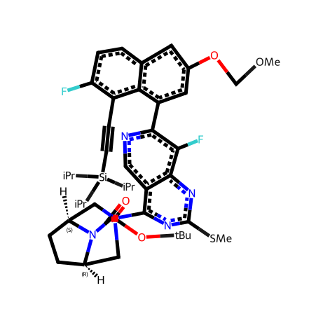 COCOc1cc(-c2ncc3c(N4C[C@H]5CC[C@@H](C4)N5C(=O)OC(C)(C)C)nc(SC)nc3c2F)c2c(C#C[Si](C(C)C)(C(C)C)C(C)C)c(F)ccc2c1